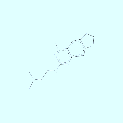 CN(C)CCNc1nc2cc3c(cc2[n+]([O-])n1)CCO3